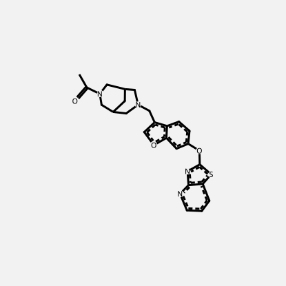 CC(=O)N1CC2CC(CN(Cc3coc4cc(Oc5nc6ncccc6s5)ccc34)C2)C1